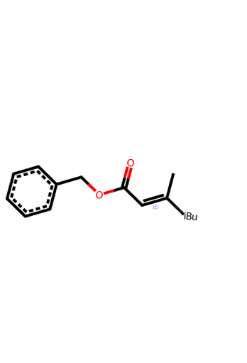 CCC(C)/C(C)=C/C(=O)OCc1ccccc1